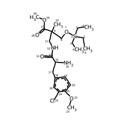 CC[Si](CC)(CC)OCC(C)(CNC(=O)C(N)Cc1ccc(OC)c(Cl)c1)C(=O)OC